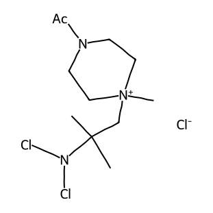 CC(=O)N1CC[N+](C)(CC(C)(C)N(Cl)Cl)CC1.[Cl-]